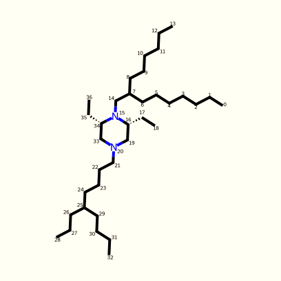 CCCCCCCC(CCCCCC)CN1[C@H](CC)CN(CCCCC(CCC)CCCC)C[C@@H]1CC